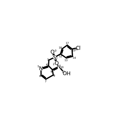 O=S(=O)(CC1=NC=CCC1=NO)c1ccc(Cl)cc1